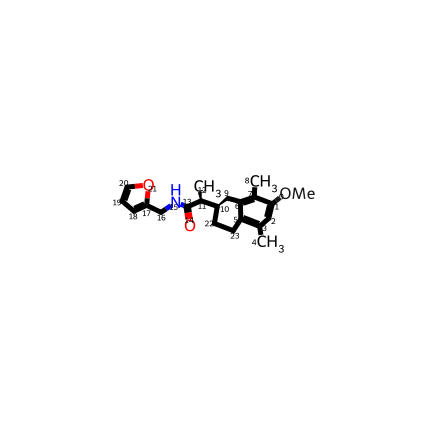 COc1cc(C)c2c(c1C)C[C@H]([C@H](C)C(=O)NCc1ccco1)CC2